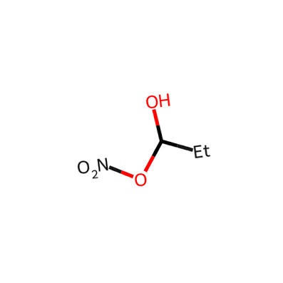 CCC(O)O[N+](=O)[O-]